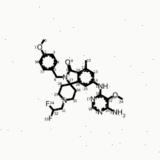 COc1ccc(CN2C(=O)c3c(C)cc(Nc4ncnc(N)c4OC)cc3C23CCN(CC(F)F)CC3)cc1